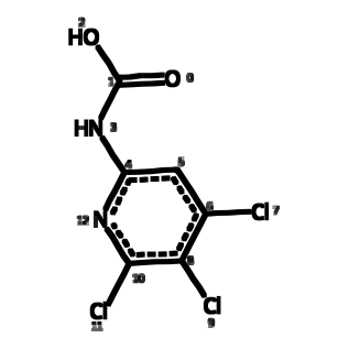 O=C(O)Nc1cc(Cl)c(Cl)c(Cl)n1